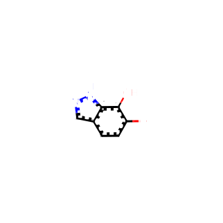 Oc1ccc2cn[nH]c2c1O